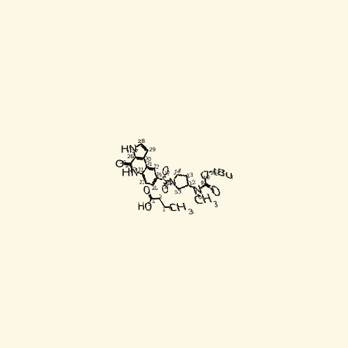 CCCC(=O)O.CN(C(=O)OC(C)(C)C)C1CCN(S(=O)(=O)c2ccc3[nH]c(=O)c4[nH]ccc4c3c2)C1